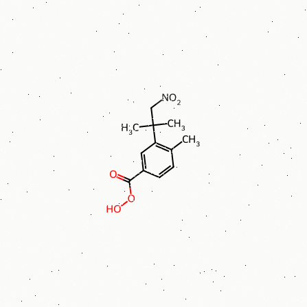 Cc1ccc(C(=O)OO)cc1C(C)(C)C[N+](=O)[O-]